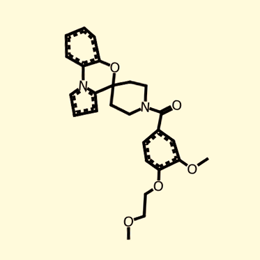 COCCOc1ccc(C(=O)N2CCC3(CC2)Oc2ccccc2-n2cccc23)cc1OC